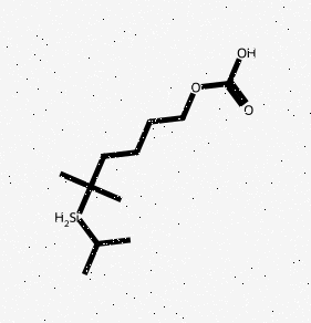 CC(C)[SiH2]C(C)(C)CCCCOC(=O)O